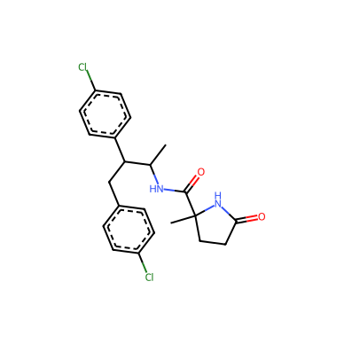 CC(NC(=O)C1(C)CCC(=O)N1)C(Cc1ccc(Cl)cc1)c1ccc(Cl)cc1